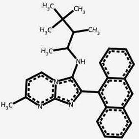 Cc1ccn2c(NC(C)C(C)C(C)(C)C)c(-c3c4ccccc4cc4ccccc34)nc2n1